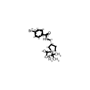 CC(C)(C)[N+]1(C(=O)O)CC[C@@H](CNC(=O)c2ccc(Br)cc2)C1